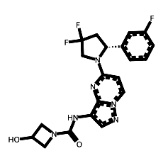 O=C(Nc1cnn2ccc(N3CC(F)(F)C[C@@H]3c3cccc(F)c3)nc12)N1CC(O)C1